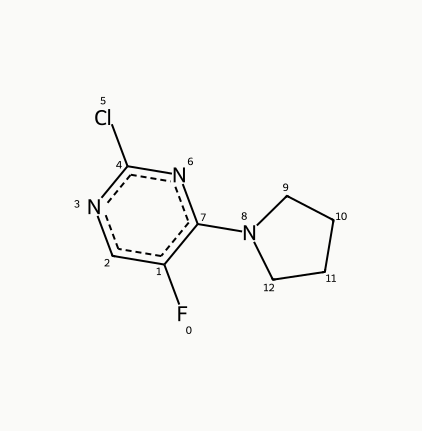 Fc1cnc(Cl)nc1N1CCCC1